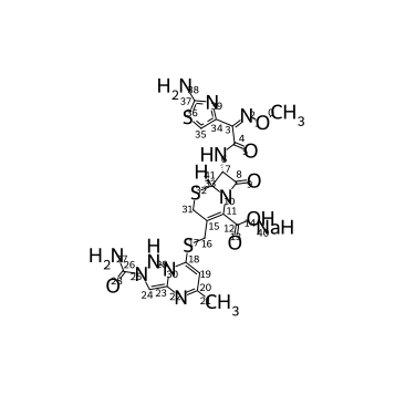 CO/N=C(\C(=O)N[C@@H]1C(=O)N2C(C(=O)O)=C(CSC3=CC(C)=NC4=CN(C(N)=O)NN43)CS[C@H]12)c1csc(N)n1.[NaH]